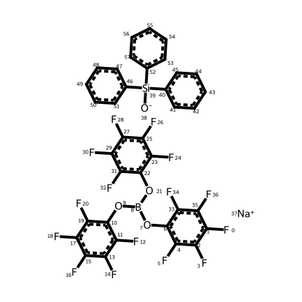 Fc1c(F)c(F)c(OB(Oc2c(F)c(F)c(F)c(F)c2F)Oc2c(F)c(F)c(F)c(F)c2F)c(F)c1F.[Na+].[O-][Si](c1ccccc1)(c1ccccc1)c1ccccc1